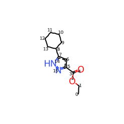 CCOC(=O)c1cc(C2CCCCC2)[nH]n1